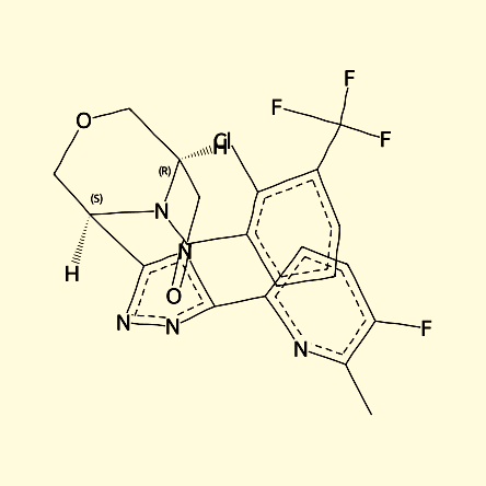 Cc1nc(-c2nnc3n2C[C@@H]2COC[C@H]3N2C(=O)c2cccc(C(F)(F)F)c2Cl)ccc1F